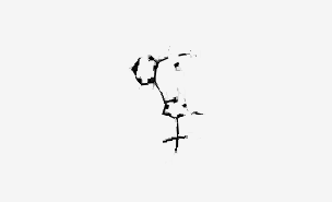 Cn1nc(-c2ccsc2S([NH])(=O)=O)cc1C(F)(F)F